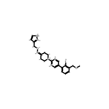 COCc1cccc(-c2cnc(N3CCC(=NOCc4cc[nH]n4)CC3)nc2)c1F